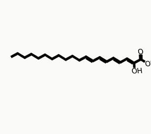 CCCCCCCCCCCC=CC=CC=CC=C(O)C(=O)O